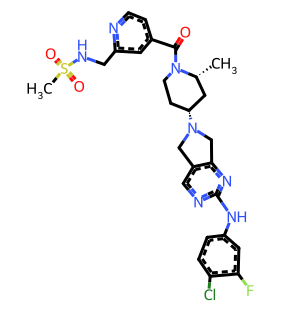 C[C@@H]1C[C@H](N2Cc3cnc(Nc4ccc(Cl)c(F)c4)nc3C2)CCN1C(=O)c1ccnc(CNS(C)(=O)=O)c1